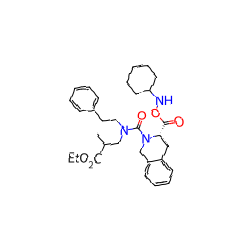 CCOC(=O)C(C)CN(CCc1ccccc1)C(=O)N1Cc2ccccc2C[C@H]1C(=O)ONC1CCCCC1